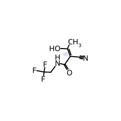 C/C(O)=C(\C#N)C(=O)NCC(F)(F)F